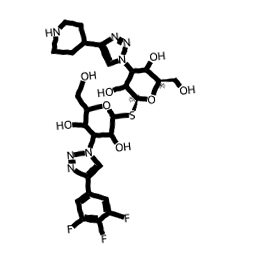 OCC1OC(S[C@@H]2O[C@H](CO)C(O)C(n3cc(C4CCNCC4)nn3)C2O)C(O)C(n2cc(-c3cc(F)c(F)c(F)c3)nn2)C1O